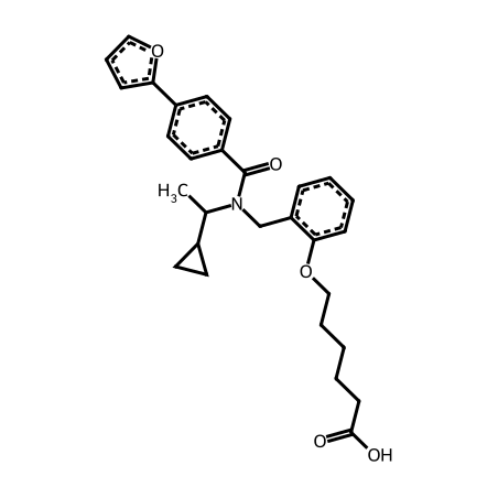 CC(C1CC1)N(Cc1ccccc1OCCCCCC(=O)O)C(=O)c1ccc(-c2ccco2)cc1